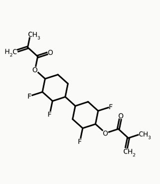 C=C(C)C(=O)OC1CCC(C2CC(F)C(OC(=O)C(=C)C)C(F)C2)C(F)C1F